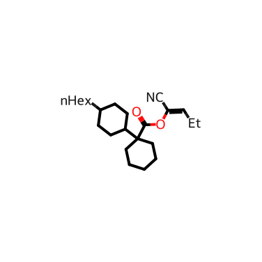 CC/C=C(/C#N)OC(=O)C1(C2CCC(CCCCCC)CC2)CCCCC1